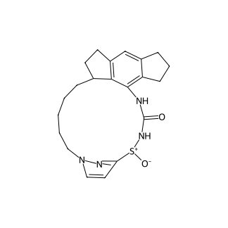 O=C1Nc2c3c(cc4c2C(CCCCCn2ccc(n2)[S+]([O-])N1)CC4)CCC3